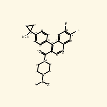 C[S+]([O-])N1CCN(C(=O)c2cnc3cc(F)c(F)cc3c2-c2ccc(C3(C#N)CC3)cc2)CC1